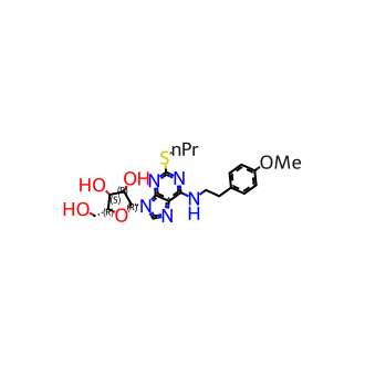 CCCSc1nc(NCCc2ccc(OC)cc2)c2ncn([C@@H]3O[C@H](CO)[C@@H](O)[C@H]3O)c2n1